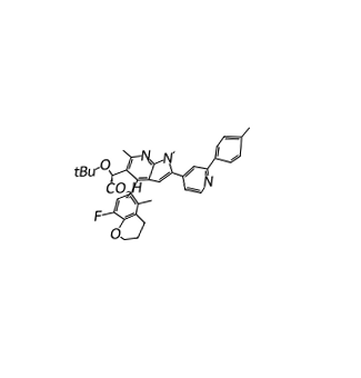 Cc1ccc(-c2cc(-c3cc4c(-c5cc(F)c6c(c5C)CCCO6)c([C@H](OC(C)(C)C)C(=O)O)c(C)nc4n3C)ccn2)cc1